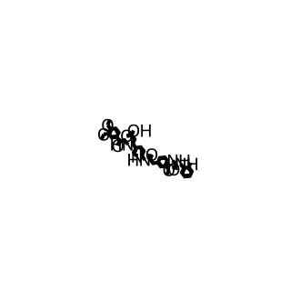 COc1cc(CC(=O)Nc2ccc(C(CC(=O)O)NCC(=O)c3ccc(OC)c(OC)c3)cn2)ccc1NC(=O)Nc1ccccc1C